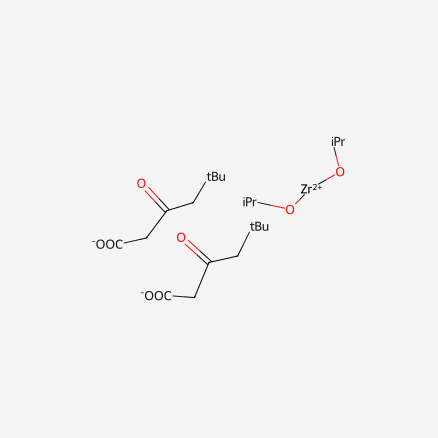 CC(C)(C)CC(=O)CC(=O)[O-].CC(C)(C)CC(=O)CC(=O)[O-].CC(C)[O][Zr+2][O]C(C)C